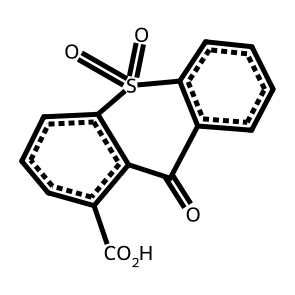 O=C(O)c1cccc2c1C(=O)c1ccccc1S2(=O)=O